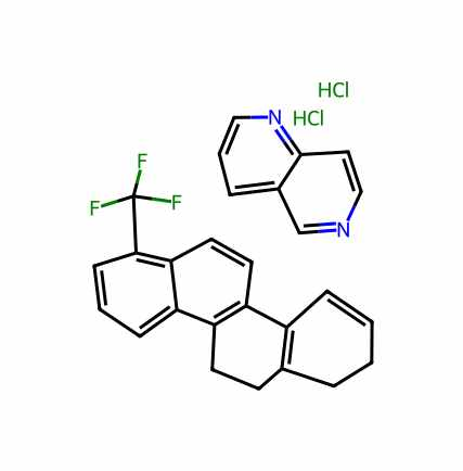 Cl.Cl.FC(F)(F)c1cccc2c3c(ccc12)C1=C(CCC=C1)CC3.c1cnc2ccncc2c1